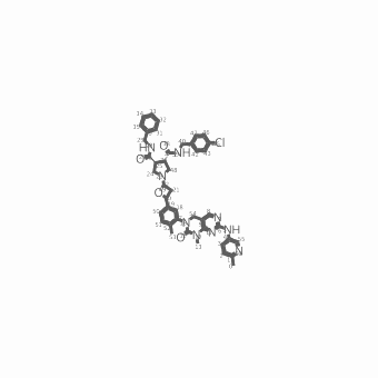 Cc1ccc(Nc2ncc3c(n2)N(C)C(=O)N(c2cc(C4CC(N5C[C@@H](C(=O)NCc6ccccc6)[C@H](C(=O)NCc6ccc(Cl)cc6)C5)O4)ccc2C)C3)cn1